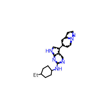 CCC1CCC(Nc2ncc3c(-c4ccn5nccc5c4)c[nH]c3n2)CC1